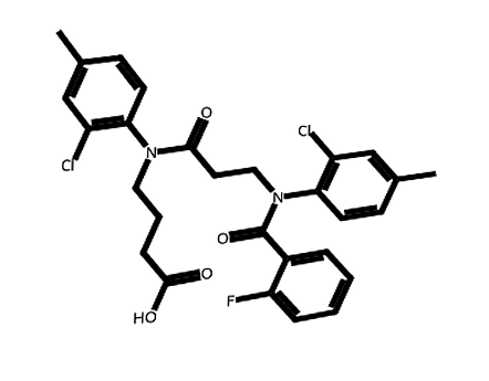 Cc1ccc(N(CCCC(=O)O)C(=O)CCN(C(=O)c2ccccc2F)c2ccc(C)cc2Cl)c(Cl)c1